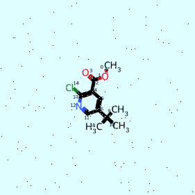 COC(=O)c1cc(C(C)(C)C)cnc1Cl